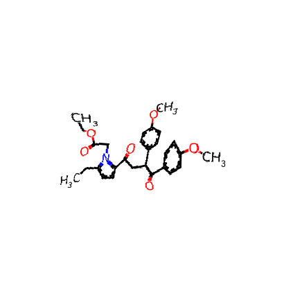 CCOC(=O)Cn1c(CC)ccc1C(=O)CC(C(=O)c1ccc(OC)cc1)c1ccc(OC)cc1